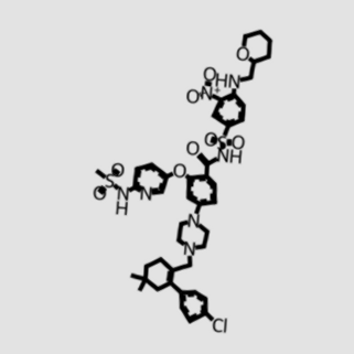 CC1(C)CCC(CN2CCN(c3ccc(C(=O)NS(=O)(=O)c4ccc(NCC5CCCCO5)c([N+](=O)[O-])c4)c(Oc4ccc(NS(C)(=O)=O)nc4)c3)CC2)=C(c2ccc(Cl)cc2)C1